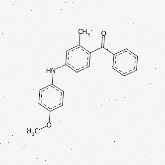 COc1ccc(Nc2ccc(C(=O)c3ccccc3)c(C)c2)cc1